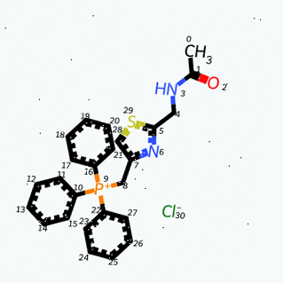 CC(=O)NCc1nc(C[P+](c2ccccc2)(c2ccccc2)c2ccccc2)cs1.[Cl-]